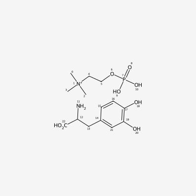 C[N+](C)(C)CCOP(=O)(O)O.NC(Cc1ccc(O)c(O)c1)C(=O)O